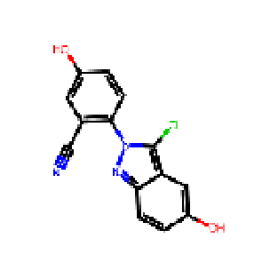 N#Cc1cc(O)ccc1-n1nc2ccc(O)cc2c1Cl